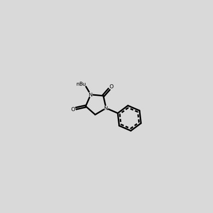 CCCCN1C(=O)CN(c2ccccc2)C1=O